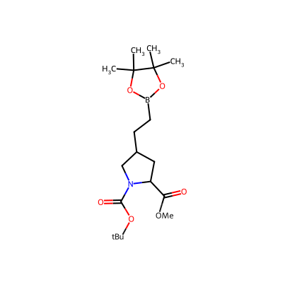 COC(=O)C1CC(CCB2OC(C)(C)C(C)(C)O2)CN1C(=O)OC(C)(C)C